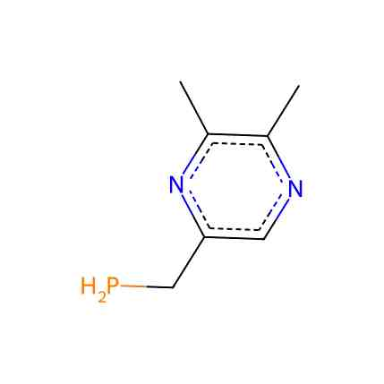 Cc1ncc(CP)nc1C